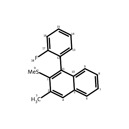 CSc1c(C)cc2ccccc2c1-c1ccccc1F